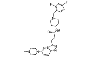 CN1CCN(c2ccc3nnc(CCC(=O)NC4CCN(Cc5ccc(F)cc5F)CC4)n3n2)CC1